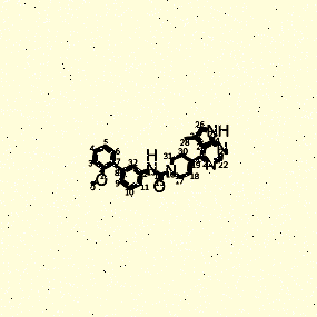 COc1ccccc1-c1cccc(NC(=O)N2CC=C(c3ncnc4[nH]cc(C)c34)CC2)c1